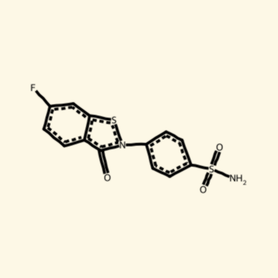 NS(=O)(=O)c1ccc(-n2sc3cc(F)ccc3c2=O)cc1